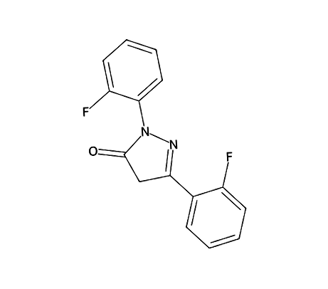 O=C1CC(c2ccccc2F)=NN1c1ccccc1F